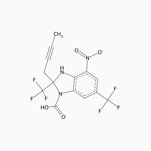 CC#CCC1(C(F)(F)F)Nc2c(cc(C(F)(F)F)cc2[N+](=O)[O-])N1C(=O)O